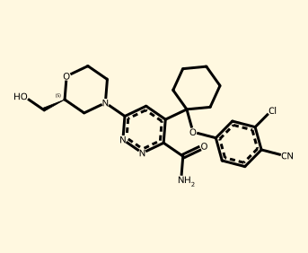 N#Cc1ccc(OC2(c3cc(N4CCO[C@H](CO)C4)nnc3C(N)=O)CCCCC2)cc1Cl